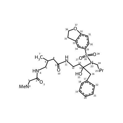 CNCC(=O)NCC(C)CC(=O)NCCC(O)(Cc1ccccc1)N(CC(C)C)S(=O)(=O)c1ccc2c(c1)CCO2